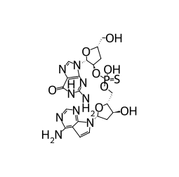 Nc1nc2c(ncn2[C@@H]2O[C@H](CO)C[C@H]2OP(O)(=S)OC[C@H]2O[C@@H](n3ccc4c(N)ncnc43)C[C@@H]2O)c(=O)[nH]1